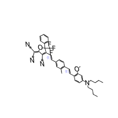 CCCCN(CCCC)c1ccc(/C=C/c2ccc(/C=C/C3=C(C#N)C(=C(C#N)C#N)OC3(c3ccccc3)C(F)(F)F)cc2C)c(OC)c1